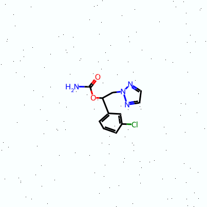 NC(=O)OC(Cn1nccn1)c1cccc(Cl)c1